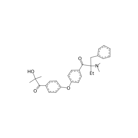 CCC(Cc1ccccc1)(C(=O)c1ccc(Oc2ccc(C(=O)C(C)(C)O)cc2)cc1)N(C)C